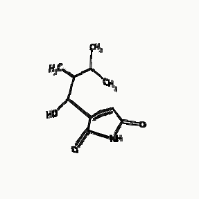 CC(C)C(C)C(O)C1=CC(=O)NC1=O